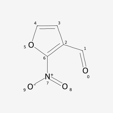 O=Cc1ccoc1[N+](=O)[O-]